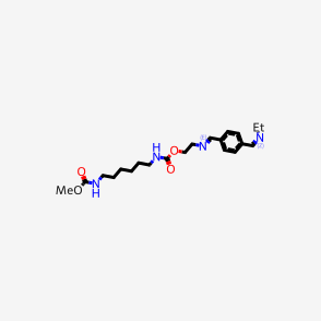 CC/N=C\c1ccc(/C=N/CCOC(=O)NCCCCCCNC(=O)OC)cc1